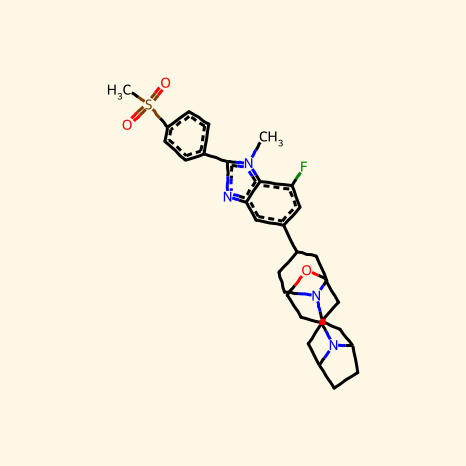 Cn1c(-c2ccc(S(C)(=O)=O)cc2)nc2cc(C3CCN(C4CC5CCC(C4)N5C4CCOCC4)CC3)cc(F)c21